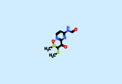 CSC(C(=O)c1nccc(NC=O)n1)[S+](C)[O-]